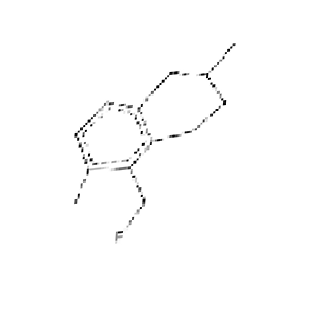 Cc1ccc2c(c1CF)CCC(C)C2